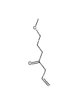 C=CCC(=O)CCCOC